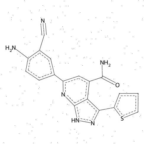 N#Cc1cc(-c2cc(C(N)=O)c3c(-c4cccs4)n[nH]c3n2)ccc1N